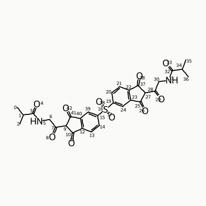 CC(C)C(=O)NCC(=O)C1C(=O)c2ccc(S(=O)(=O)c3ccc4c(c3)C(=O)C(C(=O)CNC(=O)C(C)C)C4=O)cc2C1=O